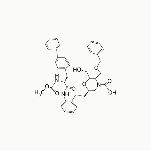 COC(=O)N[C@@H](Cc1ccc(-c2ccccc2)cc1)C(=O)Nc1ccccc1CC[C@@H]1CN(C(=O)O)C(COCc2ccccc2)C(CO)O1